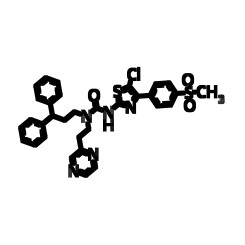 CS(=O)(=O)c1ccc(-c2nc(NC(=O)N(CCc3cnccn3)CCC(c3ccccc3)c3ccccc3)sc2Cl)cc1